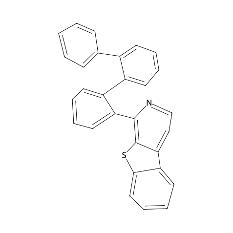 c1ccc(-c2ccccc2-c2ccccc2-c2nccc3c2sc2ccccc23)cc1